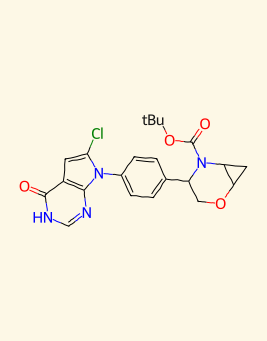 CC(C)(C)OC(=O)N1C(c2ccc(-n3c(Cl)cc4c(=O)[nH]cnc43)cc2)COC2CC21